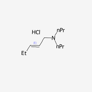 CC/C=C/CN(CCC)CCC.Cl